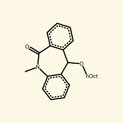 CCCCCCCCOC1c2ccccc2C(=O)N(C)c2ccccc21